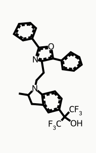 CC1Cc2cc(C(O)(C(F)(F)F)C(F)(F)F)ccc2N1CCc1nc(-c2ccccc2)oc1-c1ccccc1